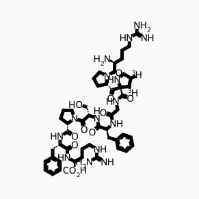 [3H]C1CN[C@@](C(=O)NCC(=O)N[C@@H](Cc2ccccc2)C(=O)N[C@@H](CO)C(=O)N2CCC[C@H]2C(=O)N[C@@H](Cc2ccccc2)C(=O)N[C@@H](CCCNC(=N)N)C(=O)O)(C(=O)[C@@H]2CCCN2C(=O)[C@@H](N)CCCNC(=N)N)C1[3H]